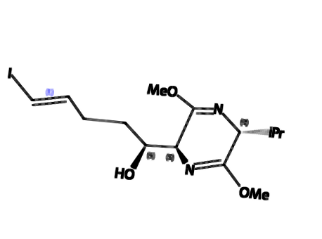 COC1=N[C@H](C(C)C)C(OC)=N[C@H]1[C@@H](O)CC/C=C/I